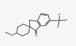 COC1CCC2(CC1)Cc1ccc(C(F)(F)F)cc1C2=O